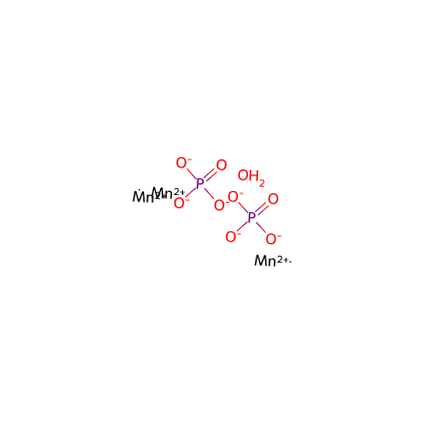 O.O=P([O-])([O-])[O-].O=P([O-])([O-])[O-].[Mn+2].[Mn+2].[Mn+2]